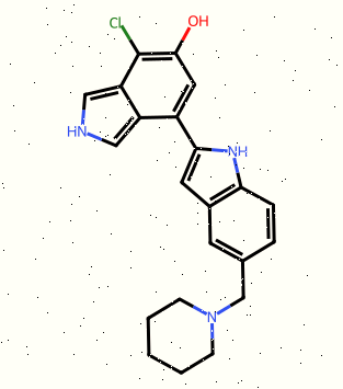 Oc1cc(-c2cc3cc(CN4CCCCC4)ccc3[nH]2)c2c[nH]cc2c1Cl